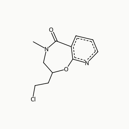 CN1CC(CCCl)Oc2ncccc2C1=O